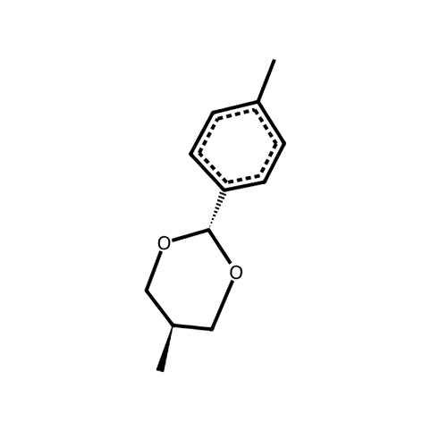 Cc1ccc([C@H]2OC[C@H](C)CO2)cc1